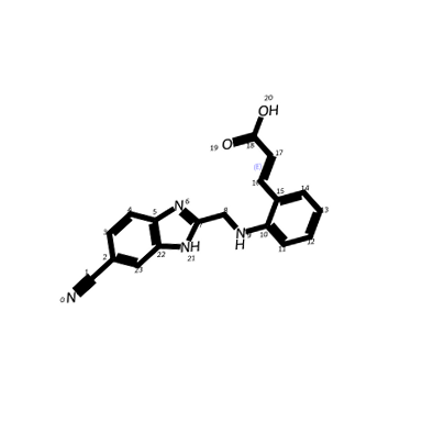 N#Cc1ccc2nc(CNc3ccccc3/C=C/C(=O)O)[nH]c2c1